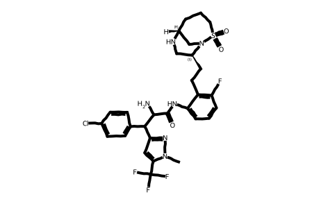 Cn1nc(C(c2ccc(Cl)cc2)C(N)C(=O)Nc2cccc(F)c2CC[C@H]2CN[C@@H]3CCCS(=O)(=O)N2C3)cc1C(F)(F)F